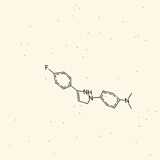 CN(C)c1ccc(N2CC=C(c3ccc(F)cc3)N2)cc1